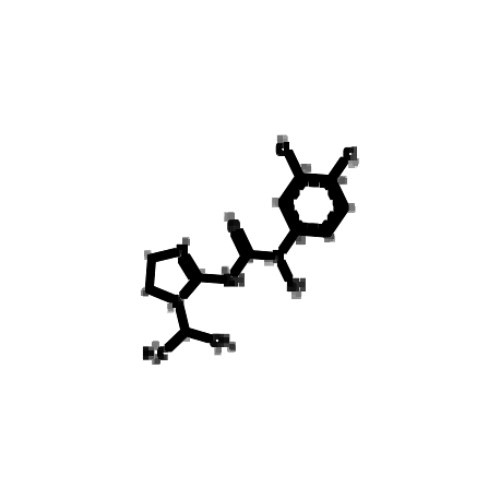 CC(C)N1CCN=C1NC(=O)N(S)c1ccc(Cl)c(Cl)c1